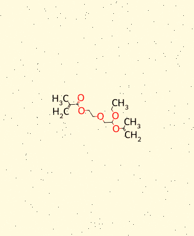 C=C(C)OC(COCCOC(=O)C(=C)C)OCC